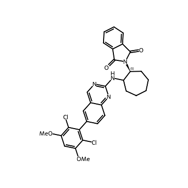 COc1cc(OC)c(Cl)c(-c2ccc3nc(NC4CCCCC[C@@H]4N4C(=O)c5ccccc5C4=O)ncc3c2)c1Cl